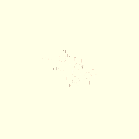 CCCCCCCCCCCc1cc2nc[nH]c2cc1CCCCCCCCCCC.Fc1c(F)c(F)c(B(c2c(F)c(F)c(F)c(F)c2F)c2c(F)c(F)c(F)c(F)c2F)c(F)c1F